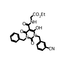 CCOC(=O)CNC(=O)c1c(O)n(Cc2cccc(C#N)c2)c(=O)n(Cc2ccccc2)c1=O